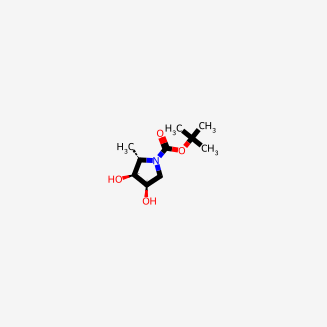 C[C@H]1[C@H](O)[C@H](O)CN1C(=O)OC(C)(C)C